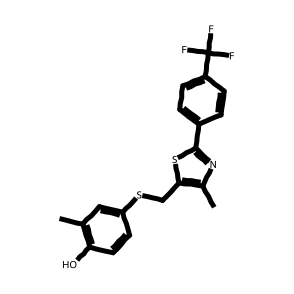 Cc1cc(SCc2sc(-c3ccc(C(F)(F)F)cc3)nc2C)ccc1O